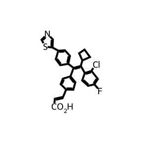 O=C(O)C=Cc1ccc(C(=C(c2ccc(F)cc2Cl)C2CCC2)c2ccc(-c3cncs3)cc2)cc1